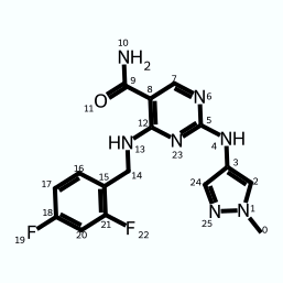 Cn1cc(Nc2ncc(C(N)=O)c(NCc3ccc(F)cc3F)n2)cn1